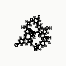 Cc1ncsc1-c1ccc([C@H](C)NC(=O)[C@@H]2C[C@@H](O)CN2C(=O)[C@H](C(C)C)n2cc(-c3cc(F)cc(O[C@H]4C[C@H](NC(=O)C[C@@H]5N=C(c6ccc(Cl)cc6)c6c(sc(C)c6C)-n6c(C)nnc65)C4)c3)cn2)cc1